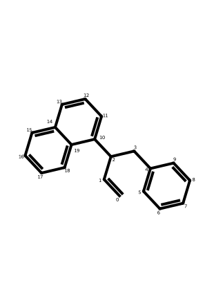 C=CC(Cc1ccccc1)c1cccc2ccccc12